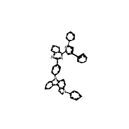 c1ccc(-c2cc(-c3ccccc3)nc(-c3nc(-c4ccc(-n5c6ccccc6c6c7ccn(-c8ccccc8)c7ccc65)cc4)nc4ccccc34)c2)cc1